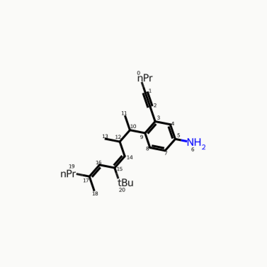 CCCC#Cc1cc(N)ccc1C(C)C(C)/C=C(\C=C(/C)CCC)C(C)(C)C